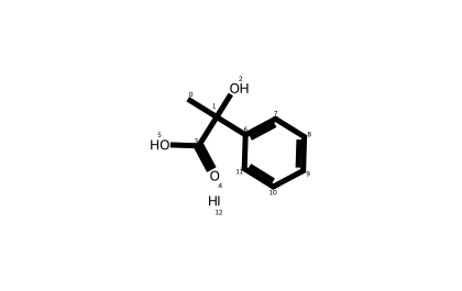 CC(O)(C(=O)O)c1ccccc1.I